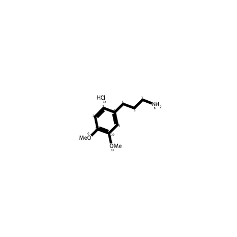 COc1ccc(C[CH]CN)cc1OC.Cl